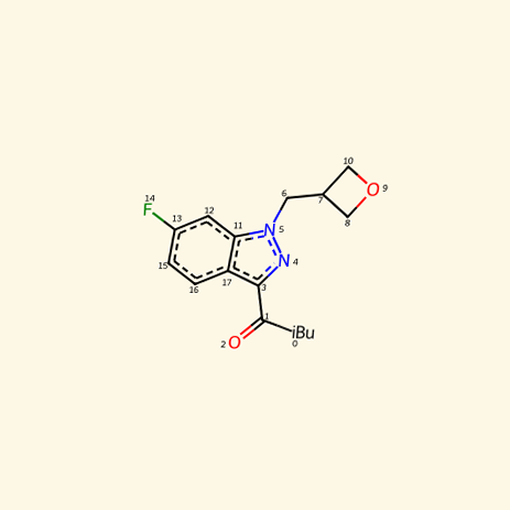 CCC(C)C(=O)c1nn(CC2COC2)c2cc(F)ccc12